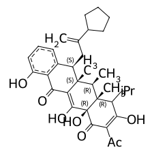 C=C(C[C@@H]1c2cccc(O)c2C(=O)C2=C(O)[C@@]3(O)C(=O)C(C(C)=O)=C(O)C(C(C)C)[C@@]3(C)[C@H](C)[C@]21C)C1CCCC1